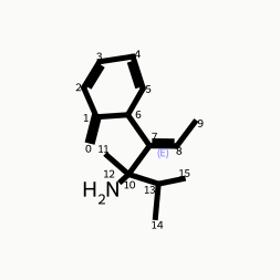 C=C1C=CC=CC1/C(=C\C)C(C)(N)C(C)C